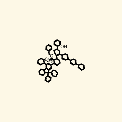 CC1CCC=CC1C1C=C(C2=CCCC(C3=C(C4C=CC(C5C=CC(C6C=CC=CC6)=CC5)=CC4)CC(c4ccccc4O)CC3)C2C(=O)OCc2ccccc2)C=C2C1C1=C(C=CCC1)C2(C1=CCCCC1)c1ccccc1